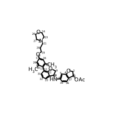 CC(=O)O[C@@H]1COc2cc(N[C@@H]3COc4c(-c5c(C)cc(OCCCN6CCOCC6)cc5C)cccc43)ccc21